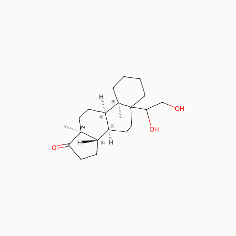 C[C@]12CC[C@@H]3[C@@H](CCC4(C(O)CO)CCCC[C@]34C)[C@@H]1CCC2=O